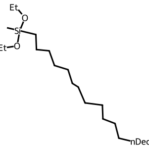 CCCCCCCCCCCCCCCCCCCCCC[Si](C)(OCC)OCC